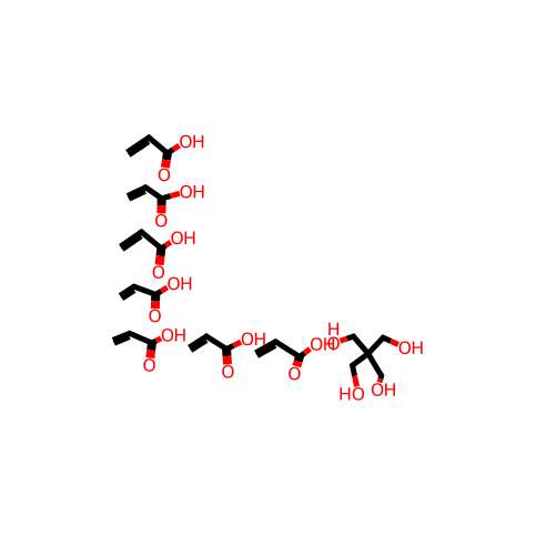 C=CC(=O)O.C=CC(=O)O.C=CC(=O)O.C=CC(=O)O.C=CC(=O)O.C=CC(=O)O.C=CC(=O)O.OCC(CO)(CO)CO